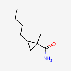 CCCC[C]1CC1(C)C(N)=O